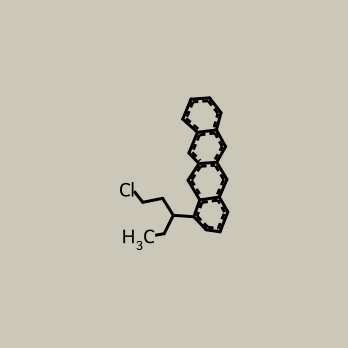 CCC(CCCl)c1cccc2cc3cc4ccccc4cc3cc12